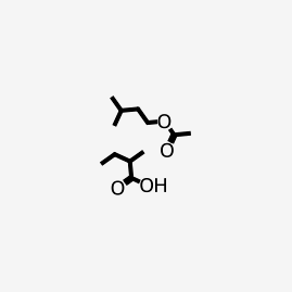 CC(=O)OCCC(C)C.CCC(C)C(=O)O